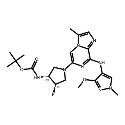 COc1nn(C)cc1Nc1nc(N2C[C@@H](F)[C@H](NC(=O)OC(C)(C)C)C2)cn2c(C)cnc12